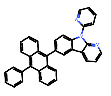 c1ccc(-c2c3ccccc3c(-c3ccc4c(c3)c3cccnc3n4-c3ccccn3)c3ccccc23)cc1